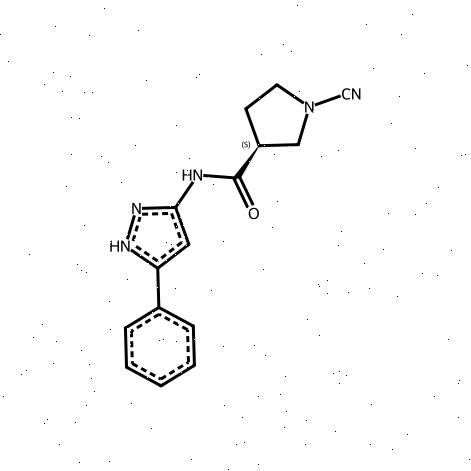 N#CN1CC[C@H](C(=O)Nc2cc(-c3ccccc3)[nH]n2)C1